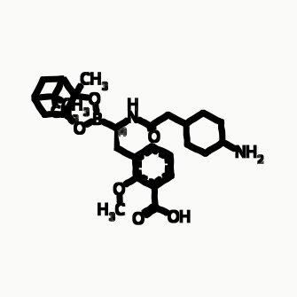 COc1c(C[C@H](NC(=O)CC2CCC(N)CC2)B2OC3CC4CC(C4(C)C)C3(C)O2)cccc1C(=O)O